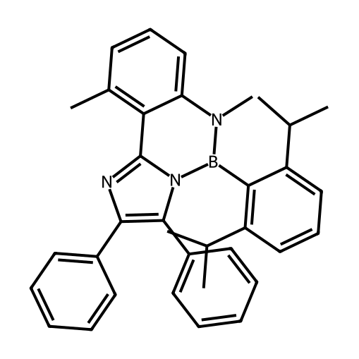 Cc1cccc2c1-c1nc(-c3ccccc3)c(-c3ccccc3)n1B(c1c(C(C)C)cccc1C(C)C)N2C